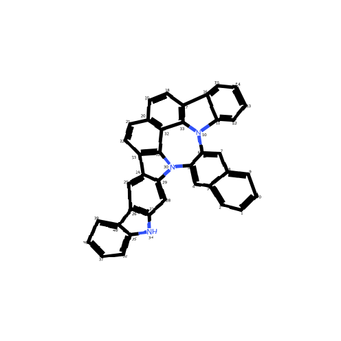 c1ccc2cc3c(cc2c1)n1c2ccccc2c2ccc4ccc5c6cc7c(cc6n3c5c4c21)[nH]c1ccccc17